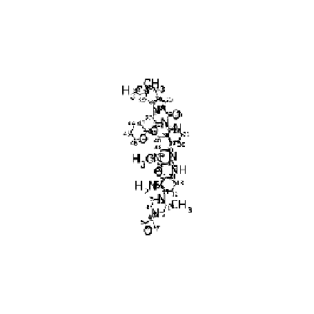 C[C@H]1CN(C2COC2)CCN1c1ccc(Nc2nc(-c3ccnc(N4CCn5c(cc6c5CC(C)(C)C6)C4=O)c3COC3CCCCO3)cn(C)c2=O)cc1N